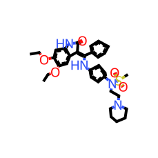 CCOc1cc2c(cc1OCC)C(=C(Nc1ccc(N(CCN3CCCCC3)S(C)(=O)=O)cc1)c1ccccc1)C(=O)N2